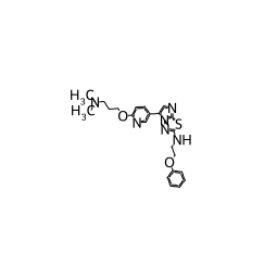 CN(C)CCCOc1ccc(-c2cnc3sc(NCCOc4ccccc4)nn23)cn1